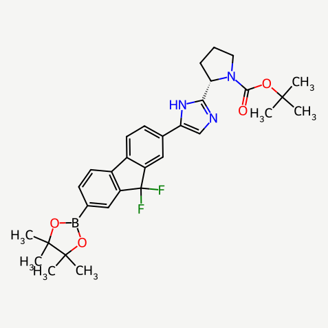 CC(C)(C)OC(=O)N1CCC[C@H]1c1ncc(-c2ccc3c(c2)C(F)(F)c2cc(B4OC(C)(C)C(C)(C)O4)ccc2-3)[nH]1